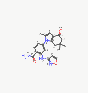 Cc1cc2c(n1-c1ccc(C(N)=O)c(Nc3ccon3)c1)CC(C)(C)CC2=O